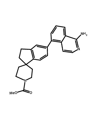 COC(=O)N1CCC2(CCc3cc(-c4cccc5c(N)nccc45)ccc32)CC1